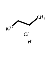 CC[CH2][Al+2].[Cl-].[H-]